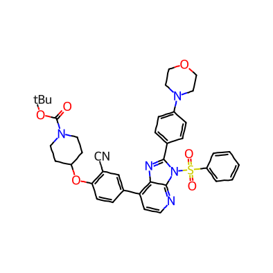 CC(C)(C)OC(=O)N1CCC(Oc2ccc(-c3ccnc4c3nc(-c3ccc(N5CCOCC5)cc3)n4S(=O)(=O)c3ccccc3)cc2C#N)CC1